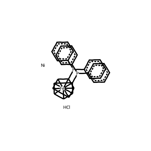 Cl.[Ni].c1ccc(P(c2ccccc2)[C]23[CH]4[CH]5[CH]6[CH]2[Fe]56432789[CH]3[CH]2[CH]7[C]8(P(c2ccccc2)c2ccccc2)[CH]39)cc1